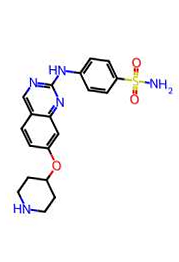 NS(=O)(=O)c1ccc(Nc2ncc3ccc(OC4CCNCC4)cc3n2)cc1